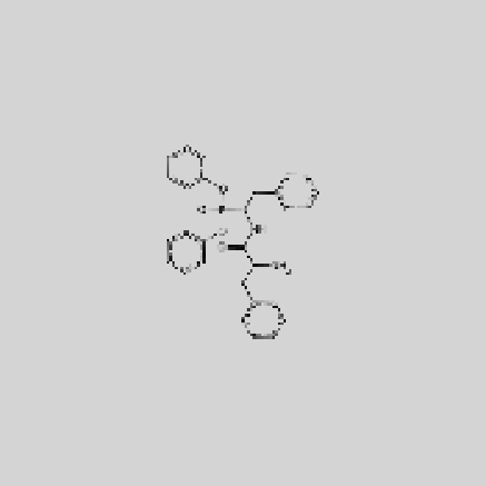 NC(Cc1ccccc1)C(=O)NC(Cc1ccccc1)P(=O)(Oc1ccccc1)Oc1ccccc1